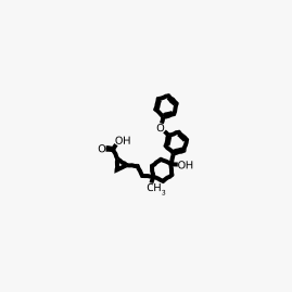 CC1(CCC2CC2C(=O)O)CCC(O)(c2cccc(Oc3ccccc3)c2)CC1